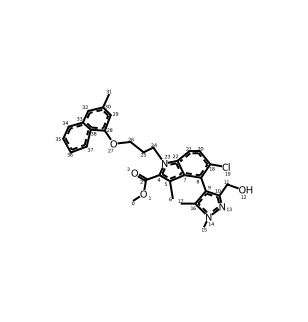 COC(=O)c1c(C)c2c(-c3c(CO)nn(C)c3C)c(Cl)ccc2n1CCCOc1cc(C)cc2ccccc12